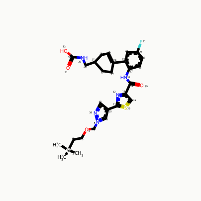 C[Si](C)(C)CCOCn1cc(-c2nc(C(=O)Nc3ccc(F)cc3C3=CCC(CNC(=O)O)CC3)cs2)cn1